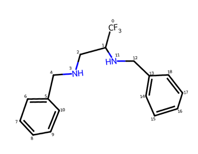 FC(F)(F)C(CNCc1ccccc1)NCc1ccccc1